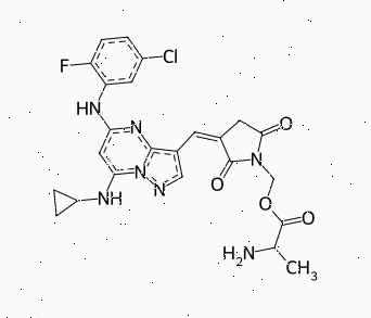 CC(N)C(=O)OCN1C(=O)CC(=Cc2cnn3c(NC4CC4)cc(Nc4cc(Cl)ccc4F)nc23)C1=O